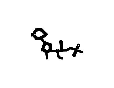 CCN(C(=O)CCS(C)(=O)=O)c1cn(-c2cccnc2)nc1C